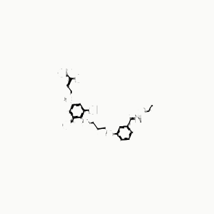 CCON=Cc1cccc(OCCCOc2c(Cl)cc(OCC=C(Cl)Cl)cc2Cl)c1